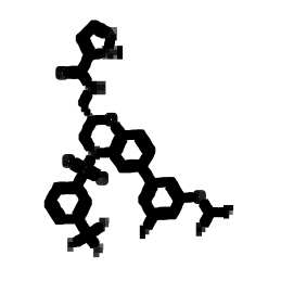 O=C(NC[C@H]1CN(S(=O)(=O)c2cccc(C(F)(F)F)c2)c2cc(-c3cc(F)cc(OC(F)F)c3)ccc2O1)c1ccn[nH]1